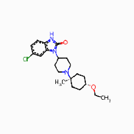 CCO[C@H]1CC[C@](C)(N2CCC(n3c(=O)[nH]c4ccc(Cl)cc43)CC2)CC1